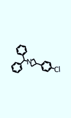 Clc1ccc(C2CN(C(c3ccccc3)c3ccccc3)C2)cc1